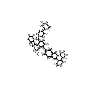 c1ccc(-c2ccc(N(c3ccc(-c4ccc5cc(-c6ccccc6-c6ccccc6)ccc5c4)cc3)c3cccc4oc5ccccc5c34)cc2)cc1